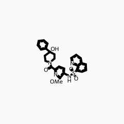 COc1nc(C(=O)N2CCC(O)(c3ccccc3)CC2)ccc1NS(=O)(=O)c1cccc2cccnc12